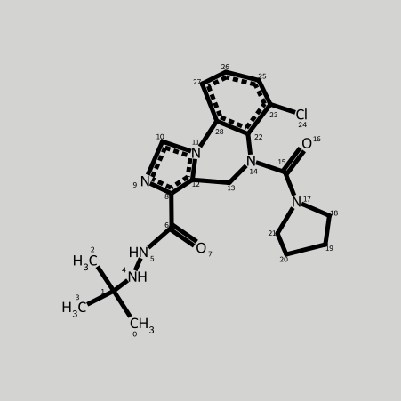 CC(C)(C)NNC(=O)c1ncn2c1CN(C(=O)N1CCCC1)c1c(Cl)cccc1-2